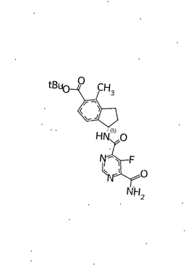 Cc1c(C(=O)OC(C)(C)C)ccc2c1CC[C@@H]2NC(=O)c1ncnc(C(N)=O)c1F